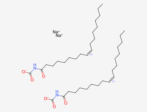 CCCCCCCC/C=C\CCCCCCCC(=O)NC(=O)[O-].CCCCCCCC/C=C\CCCCCCCC(=O)NC(=O)[O-].[Na+].[Na+]